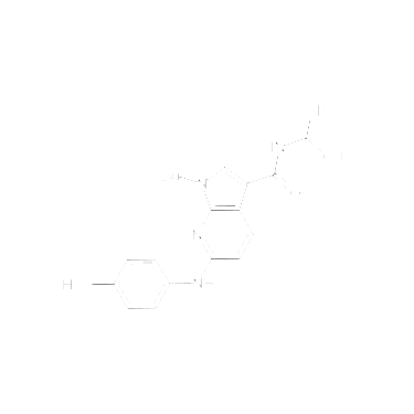 CCCCC(C)NC(=O)c1cn(C(C)(C)C)c2nc(Nc3ccc(C)cc3)ccc12